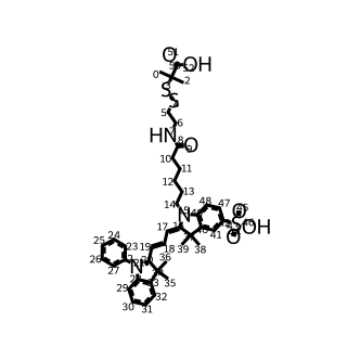 CC(C)(SSCCNC(=O)CCCCCN1/C(=C/C=C/C2=[N+](c3ccccc3)c3ccccc3C2(C)C)C(C)(C)c2cc(S(=O)(=O)O)ccc21)C(=O)O